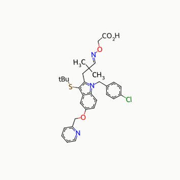 CC(C)(/C=N/OCC(=O)O)Cc1c(SC(C)(C)C)c2cc(OCc3ccccn3)ccc2n1Cc1ccc(Cl)cc1